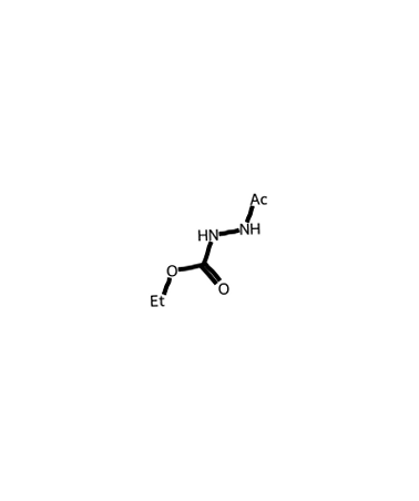 CCOC(=O)NNC(C)=O